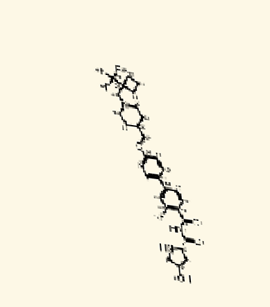 O=C(NC(=O)[C@@H]1C[C@@H](O)CN1)c1ccc(-c2ccc(OCC3CCN(CC4(C(F)(F)F)CCC4)CC3)nc2)cc1F